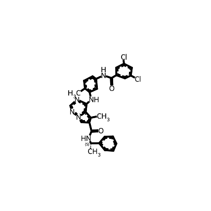 Cc1ccc(NC(=O)c2cc(Cl)cc(Cl)c2)cc1Nc1ncnn2cc(C(=O)N[C@@H](C)c3ccccc3)c(C)c12